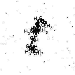 COc1nc(SCCC(=O)NCCC[C@@H](NC(=O)OC(C)(C)C)C(=O)O)nc(OC)c1NC(=O)c1ccc(Oc2cc3c(cc2C)CCC3(C)C)o1